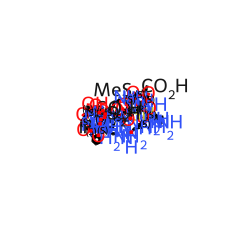 CSCC[C@H](NC(=O)[C@H](CCC(=O)O)NC(=O)[C@H](C)NC(=O)[C@H](CS)NC(=O)[C@H](Cc1c[nH]cn1)NC(=O)[C@@H](N)CCCNC(=N)N)C(=O)N[C@@H](CC(N)=O)C(=O)N1CCC[C@H]1C(=O)N[C@@H](CCCCN)C(=O)N[C@@H](CC(=O)O)C(=O)N[C@@H](CCCCN)C(=O)N[C@@H](Cc1ccccc1)C(=O)N[C@@H](CC(C)C)C(=O)N[C@H](C(=O)N[C@@H](Cc1c[nH]c2ccccc12)C(=O)O)[C@@H](C)O